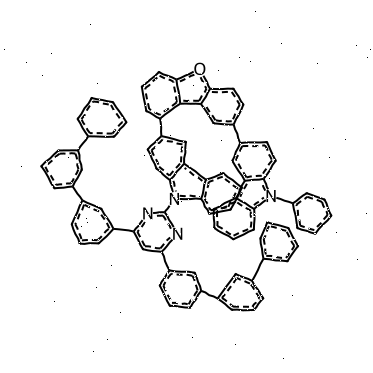 c1ccc(-c2cccc(-c3cccc(-c4cc(-c5cccc(-c6cccc(-c7ccccc7)c6)c5)nc(-n5c6ccccc6c6cc(-c7cccc8oc9ccc(-c%10ccc%11c(c%10)c%10ccccc%10n%11-c%10ccccc%10)cc9c78)ccc65)n4)c3)c2)cc1